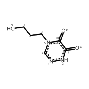 O=c1[nH]n[c]n(CCCO)c1=O